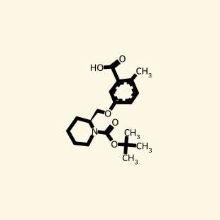 Cc1ccc(OC[C@@H]2CCCCN2C(=O)OC(C)(C)C)cc1C(=O)O